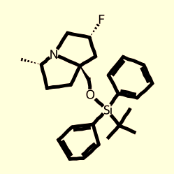 C[C@H]1CC[C@@]2(CO[Si](c3ccccc3)(c3ccccc3)C(C)(C)C)C[C@@H](F)CN12